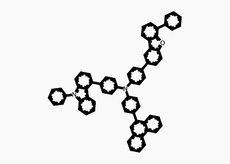 c1ccc(-c2cccc3c2oc2ccc(-c4ccc(N(c5ccc(-c6cc7ccccc7c7ccccc67)cc5)c5ccc(-c6cccc7c6c6ccccc6n7-c6ccccc6)cc5)cc4)cc23)cc1